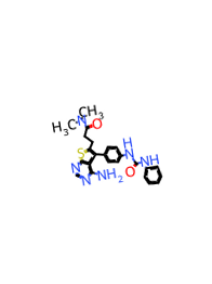 CN(C)C(=O)CCc1sc2ncnc(N)c2c1-c1ccc(NC(=O)Nc2ccccc2)cc1